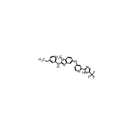 CCc1cccc(Nc2nc3cc(Oc4ccnc(-c5ncc(C(F)(F)F)[nH]5)c4)ccc3n2C)c1